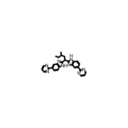 CCC(C)CC(c1nc2cc(-c3ncccn3)ccc2[nH]1)c1nc2cc(-c3ncccn3)ccc2[nH]1